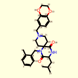 Cc1ccccc1CN1C(=O)C(CC(C)C)NC(=O)C12CCN(Cc1ccc3c(c1)OCCO3)CC2